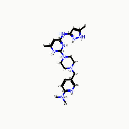 Cc1cc(Nc2cc(C)[nH]n2)nc(N2CCN(Cc3ccc(N(C)C)nc3)CC2)n1